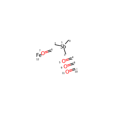 [CH3][Sb]([CH3])[CH3].[C]=O.[C]=O.[C]=O.[C]=O.[Fe]